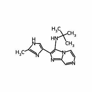 Cc1nc(-c2nc3cnccn3c2NC(C)(C)C)c[nH]1